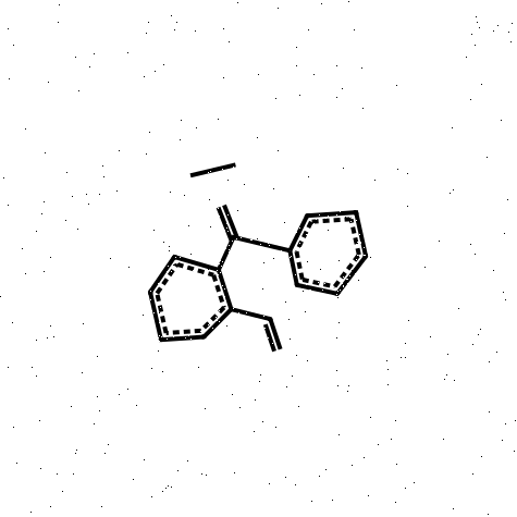 C=Cc1ccccc1C(=C)c1ccccc1.CC